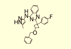 Cc1cc(Nc2nc(C3(c4ccc(F)cc4)CC(OCc4ccccc4)C3)nc3ccccc23)n[nH]1